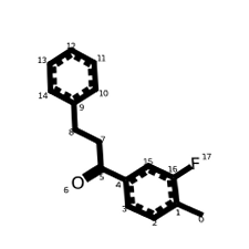 Cc1ccc(C(=O)CCc2ccccc2)cc1F